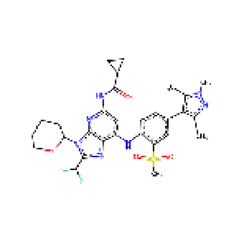 Cc1nn(C)c(C)c1-c1ccc(Nc2cc(NC(=O)C3CC3)nc3c2nc(C(F)F)n3C2CCCCO2)c(S(C)(=O)=O)c1